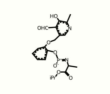 Cc1ncc(COc2ccccc2O[P+]([O-])=NC(C)C(=O)OC(C)C)c(C=O)c1O